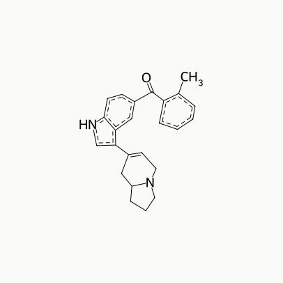 Cc1ccccc1C(=O)c1ccc2[nH]cc(C3=CCN4CCCC4C3)c2c1